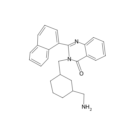 NCC1CCCC(Cn2c(-c3cccc4ccccc34)nc3ccccc3c2=O)C1